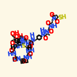 CC[C@H](C)[C@@H]1NC(=O)CNC(=O)[C@@H]2Cc3c([nH]c4ccccc34)SC[C@H](NC(=O)CNC1=O)C(=O)N[C@@H](CC(=O)NCc1ccc(NC(=O)[C@H](C)NC(=O)CNC(=O)CCN3C(=O)CC(S)C3=O)cc1)C(=O)N1CCC1C[C@@H]([C@@H](C)[C@@H](O)CO)C(=O)N2